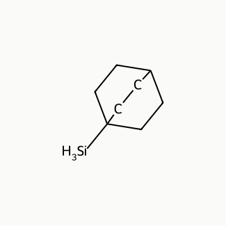 [SiH3]C12CCC(CC1)CC2